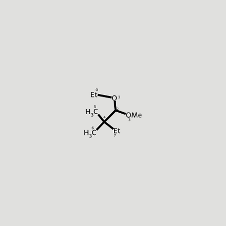 CCOC(OC)C(C)(C)CC